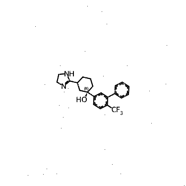 O[C@]1(c2ccc(C(F)(F)F)c(-c3ccccc3)c2)CCCC(C2=NCCN2)C1